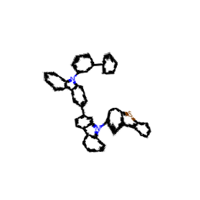 c1ccc(-c2cccc(-n3c4ccccc4c4cc(-c5ccc6c7ccccc7n(-c7ccc8sc9ccccc9c8c7)c6c5)ccc43)c2)cc1